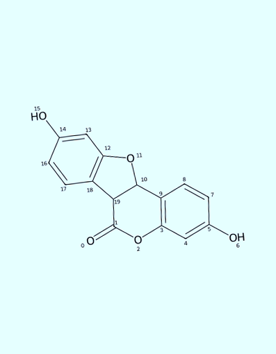 O=C1Oc2cc(O)ccc2C2Oc3cc(O)ccc3C12